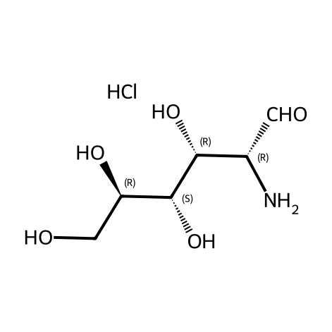 Cl.N[C@@H]([13CH]=O)[C@@H](O)[C@H](O)[C@H](O)CO